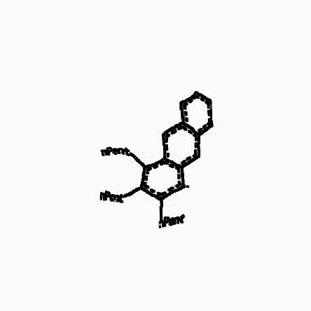 CCCCCc1[c]c2cc3ccccc3cc2c(CCCCC)c1CCCCC